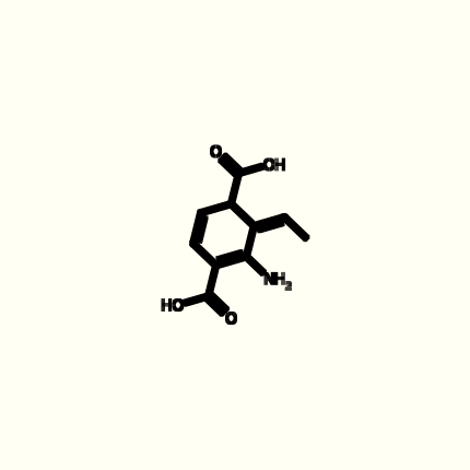 CC=C1C(N)=C(C(=O)O)C=CC1C(=O)O